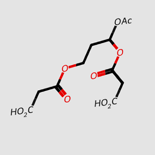 CC(=O)OC(CCOC(=O)CC(=O)O)OC(=O)CC(=O)O